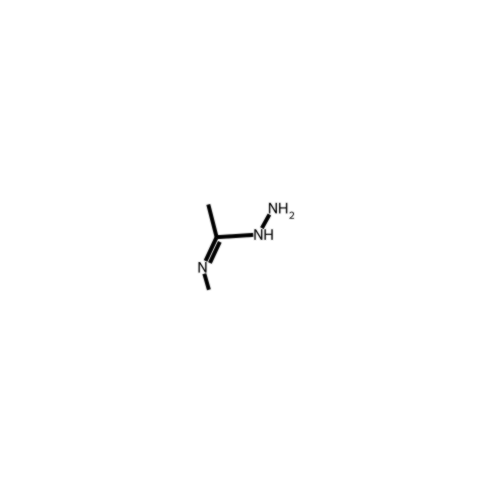 CN=C(C)NN